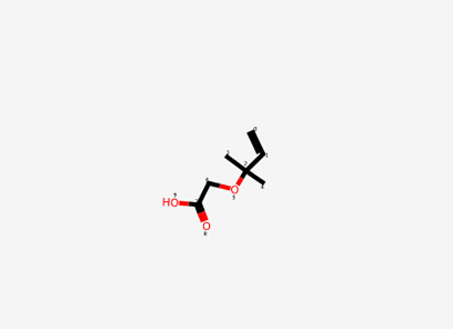 C=CC(C)(C)OCC(=O)O